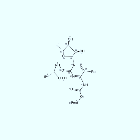 CC(C)[C@H](N)C(=O)O.CCCCCOC(=O)Nc1nc(=O)n([C@@H]2O[C@H](C)[C@@H](O)[C@H]2O)cc1F